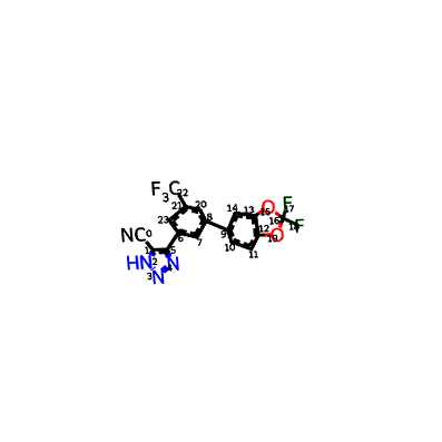 N#Cc1[nH]nnc1-c1cc(-c2ccc3c(c2)OC(F)(F)O3)cc(C(F)(F)F)c1